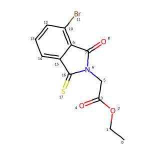 CCOC(=O)CN1C(=O)c2c(Br)cccc2C1=S